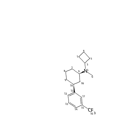 CN(C1CCC1)[C@@H]1CCC[C@H](c2cccc(C(F)(F)F)c2)C1